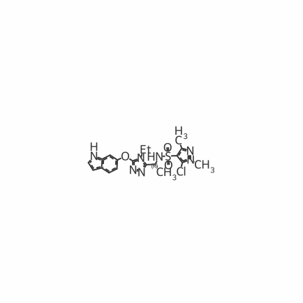 CCn1c(Oc2ccc3cc[nH]c3c2)nnc1[C@@H](C)NS(=O)(=O)c1c(C)nn(C)c1Cl